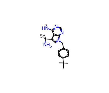 CNc1ncnc2c1c(C(N)=[Se])cn2Cc1ccc(C(C)(C)C)cc1